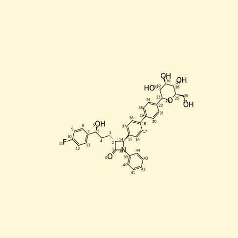 O=C1[C@H](CC[C@H](O)c2ccc(F)cc2)[C@@H](c2ccc(-c3ccc(C4O[C@H](CO)[C@@H](O)[C@H](O)[C@H]4O)cc3)cc2)N1c1ccccc1